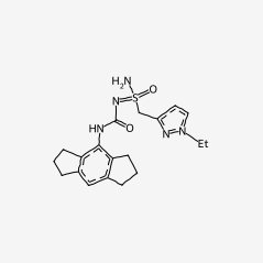 CCn1ccc(CS(N)(=O)=NC(=O)Nc2c3c(cc4c2CCC4)CCC3)n1